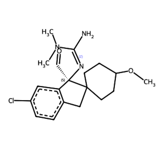 COC1CCC2(CC1)Cc1ccc(Cl)cc1[C@@]2(C=O)/N=C(/N)N(C)C